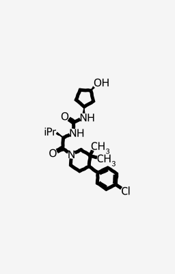 CC(C)[C@@H](NC(=O)N[C@H]1CC[C@@H](O)C1)C(=O)N1CCC(c2ccc(Cl)cc2)C(C)(C)C1